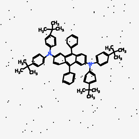 CC(C)(C)c1ccc(N(c2ccc(C(C)(C)C)cc2)c2ccc3c(-c4ccccc4)c4cc(N(c5ccc(C(C)(C)C)cc5)c5ccc(C(C)(C)C)cc5)ccc4c(C4=CC=CCC4)c3c2)cc1